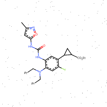 CCOC(=O)C1CC1c1cc(NC(=O)Nc2cc(C)no2)c(N(CC(C)C)CC(C)C)cc1F